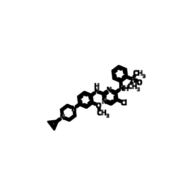 COc1cc(N2CCN(C3CC3)CC2)ccc1Nc1ncc(Cl)c(Nc2ccccc2P(C)(C)=O)n1